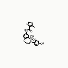 Cc1ocnc1C(=O)Nc1ccc2c(c1)S(O)(O)N(c1ccc(C#N)cc1)CCO2